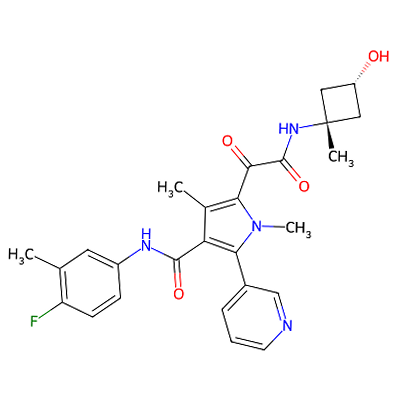 Cc1cc(NC(=O)c2c(C)c(C(=O)C(=O)N[C@]3(C)C[C@H](O)C3)n(C)c2-c2cccnc2)ccc1F